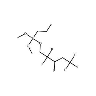 CCC[Si](OC)(OC)OCC(F)(F)C(F)CC(F)(F)F